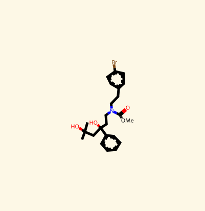 COC(=O)N(CCc1ccc(Br)cc1)CCC(O)(CC(C)(C)O)c1ccccc1